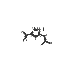 CC(=O)c1cc(CC(C)C)[nH]n1